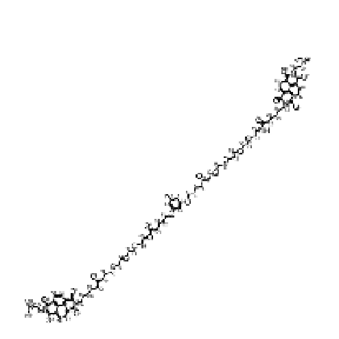 Cc1cc(OCCCCC(=O)CCOCCOCCOCCOCCNC(=O)CCCCCN2C(=O)c3ccc4c5c(ccc(c35)C2=O)C(=O)N(CCN(C)C)C4=O)cc(OCCCCC(=O)OCCOCCOCCOCCCC(=O)CCCCCN2C(=O)c3ccc4c5c(ccc(c35)C2=O)C(=O)N(CCN(C)C)C4=O)c1